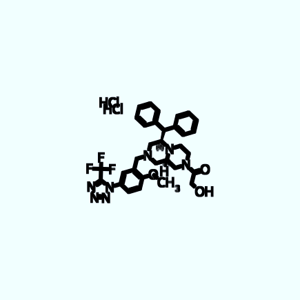 COc1ccc(-n2nnnc2C(F)(F)F)cc1CN1C[C@@H]2CN(C(=O)CO)CCN2[C@H](C(c2ccccc2)c2ccccc2)C1.Cl.Cl